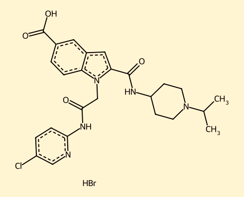 Br.CC(C)N1CCC(NC(=O)c2cc3cc(C(=O)O)ccc3n2CC(=O)Nc2ccc(Cl)cn2)CC1